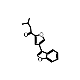 CC(C)CC(=O)c1cc(-c2coc3ccccc23)co1